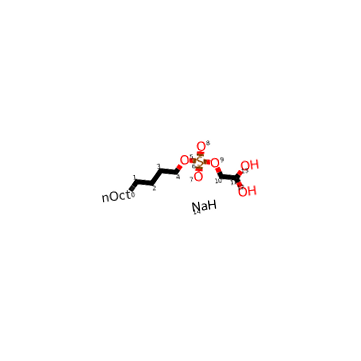 CCCCCCCCCCCCOS(=O)(=O)OCC(O)O.[NaH]